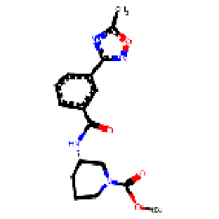 Cc1nc(-c2cccc(C(=O)N[C@H]3CCCN(C(=O)OC(C)(C)C)C3)c2)no1